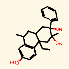 CCC12CC(C)(O)C(O)(c3ccccc3)CC1CC(C)c1cc(O)ccc12